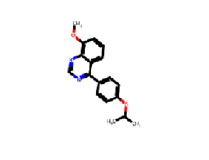 COc1cccc2c(-c3ccc(OC(C)C)cc3)ncnc12